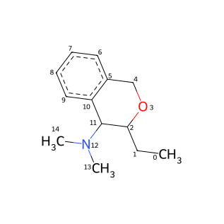 CCC1OCc2ccccc2C1N(C)C